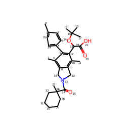 Cc1ccc(-c2c(C)c3c(c(C)c2C(OC(C)(C)C)C(=O)O)CN(C(=O)C2(C)CCCCC2)C3)cc1